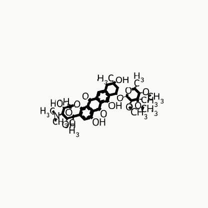 CO[C@H]1[C@H](O[C@H]2C[C@](C)(O)Cc3cc4c(c(O)c32)C(=O)c2c(O)cc3c(c2C4=O)O[C@@H]2O[C@@]3(C)[C@H](O)[C@@H](N(C)C)[C@@H]2O)O[C@@H](C)[C@H](OC)[C@@]1(C)OC